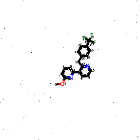 COc1cccc(-c2cccnc2Cc2ccc(C(F)(F)F)cc2)n1